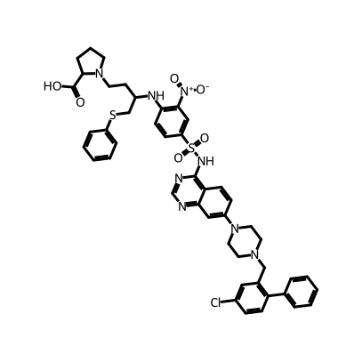 O=C(O)C1CCCN1CCC(CSc1ccccc1)Nc1ccc(S(=O)(=O)Nc2ncnc3cc(N4CCN(Cc5cc(Cl)ccc5-c5ccccc5)CC4)ccc23)cc1[N+](=O)[O-]